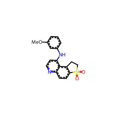 COc1cccc(Nc2ccnc3ccc4c(c23)CCS4(=O)=O)c1